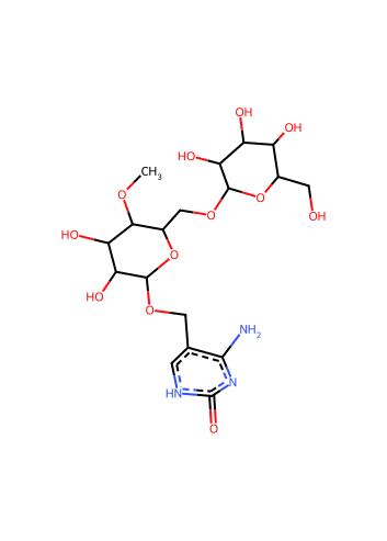 COC1C(COC2OC(CO)C(O)C(O)C2O)OC(OCc2c[nH]c(=O)nc2N)C(O)C1O